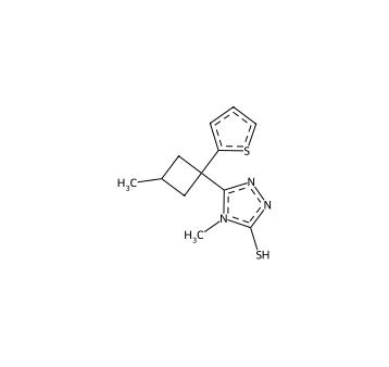 CC1CC(c2cccs2)(c2nnc(S)n2C)C1